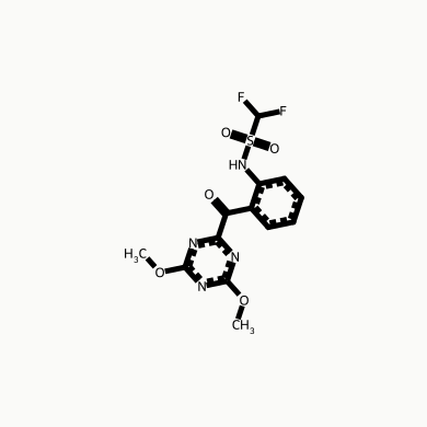 COc1nc(OC)nc(C(=O)c2ccccc2NS(=O)(=O)C(F)F)n1